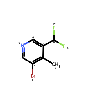 Cc1c(Br)cncc1C(F)F